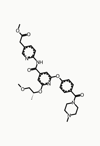 COC[C@@H](C)Oc1cc(C(=O)Nc2ccc(CC(=O)OC)cn2)cc(Oc2ccc(C(=O)N3CCN(C)CC3)cc2)n1